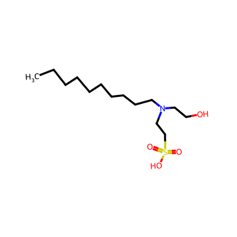 CCCCCCCCCCN(CCO)CCS(=O)(=O)O